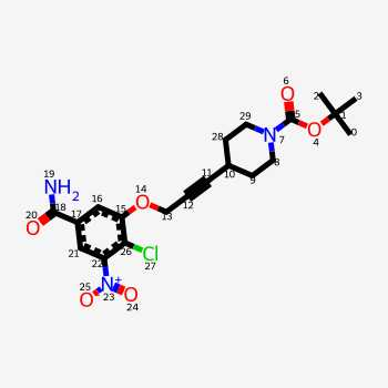 CC(C)(C)OC(=O)N1CCC(C#CCOc2cc(C(N)=O)cc([N+](=O)[O-])c2Cl)CC1